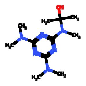 CN(C)c1nc(N(C)C)nc(N(C)C(C)(C)O)n1